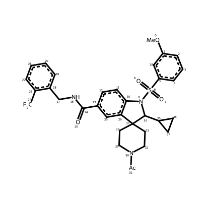 COc1cccc(S(=O)(=O)N2c3ccc(C(=O)NCc4ccccc4C(F)(F)F)cc3C3(CCN(C(C)=O)CC3)C2C2CC2)c1